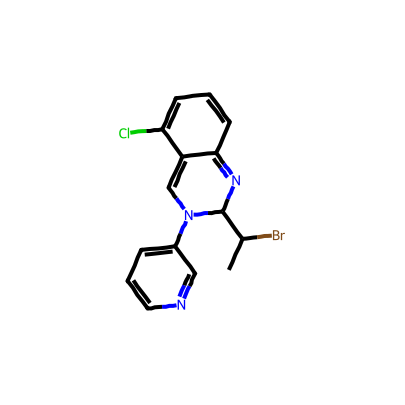 CC(Br)C1N=c2cccc(Cl)c2=CN1c1cccnc1